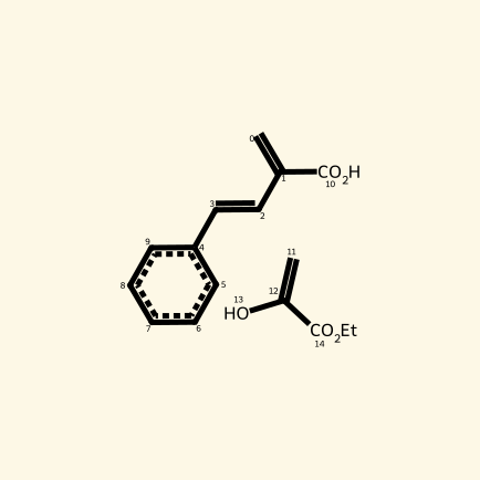 C=C(C=Cc1ccccc1)C(=O)O.C=C(O)C(=O)OCC